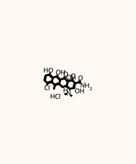 Cc1c2c(c(O)c3c(O)ccc(Cl)c13)C(=O)[C@]1(O)C(=O)C(C(N)=O)=C(O)[C@@H](N(C)C)[C@@H]1C2.Cl